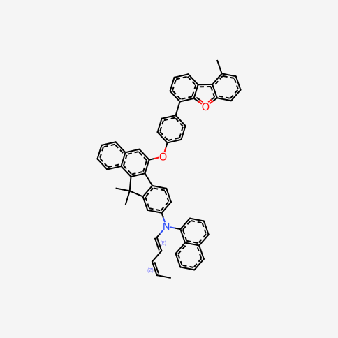 C/C=C\C=C\N(c1ccc2c(c1)C(C)(C)c1c-2c(Oc2ccc(-c3cccc4c3oc3cccc(C)c34)cc2)cc2ccccc12)c1cccc2ccccc12